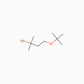 CC(C)(S)CCOC(C)(C)C